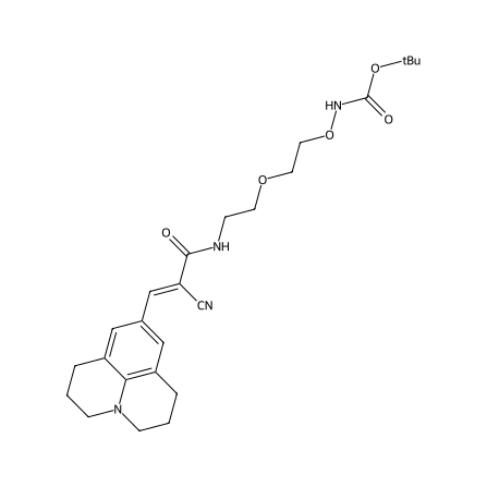 CC(C)(C)OC(=O)NOCCOCCNC(=O)/C(C#N)=C/c1cc2c3c(c1)CCCN3CCC2